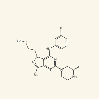 CCOCCn1nc(CC)c2nc(N3CCN[C@H](C)C3)nc(Nc3cccc(F)c3)c21